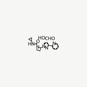 O=C(NC1CC1)N1CCC1n1ccc(-c2ccccn2)n1.O=CO